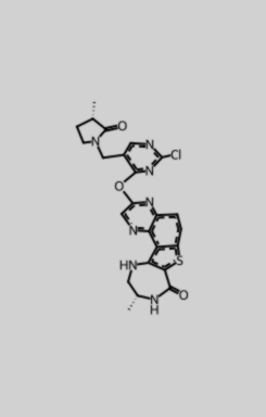 C[C@@H]1CNc2c(sc3ccc4nc(Oc5nc(Cl)ncc5CN5CC[C@H](C)C5=O)cnc4c23)C(=O)N1